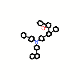 c1ccc(-c2ccc(N(c3ccc(-c4ccc(-c5ccccc5)c(-c5cccc6c5oc5ccccc56)c4)cc3)c3ccc(-c4cccc5ccccc45)cc3)cc2)cc1